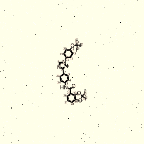 O=C(Nc1ccc(-c2ncn(-c3ccc(OC(F)(F)F)cc3)n2)cc1)c1cccc2c1OC(F)(F)O2